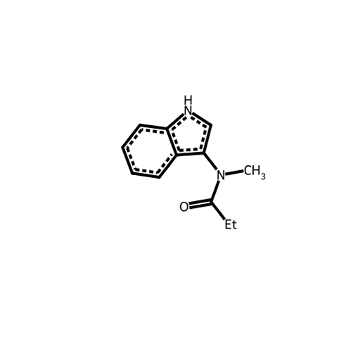 CCC(=O)N(C)c1c[nH]c2ccccc12